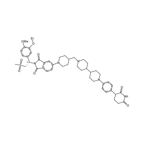 CCOc1cc([C@@H](CS(C)(=O)=O)N2C(=O)c3ccc(N4CCC(CN5CCC(C6CCN(c7ccc(C8CCC(=O)NC8=O)cc7)CC6)CC5)CC4)cc3C2=O)ccc1OC